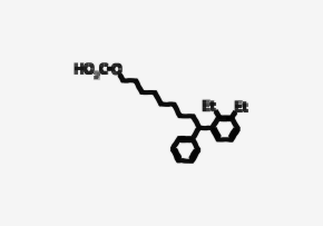 CCc1cccc(C(CCCCCCCCOC(=O)O)c2ccccc2)c1CC